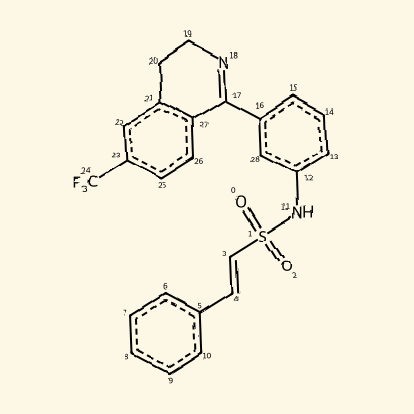 O=S(=O)(/C=C/c1ccccc1)Nc1cccc(C2=NCCc3cc(C(F)(F)F)ccc32)c1